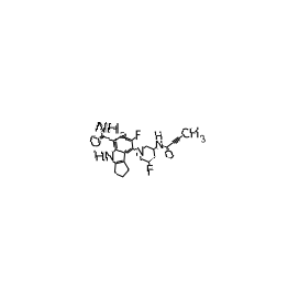 CC#CC(=O)N[C@H]1C[C@@H](F)CN(c2c(F)cc(C(N)=O)c3[nH]c4c(c23)CCC4)C1